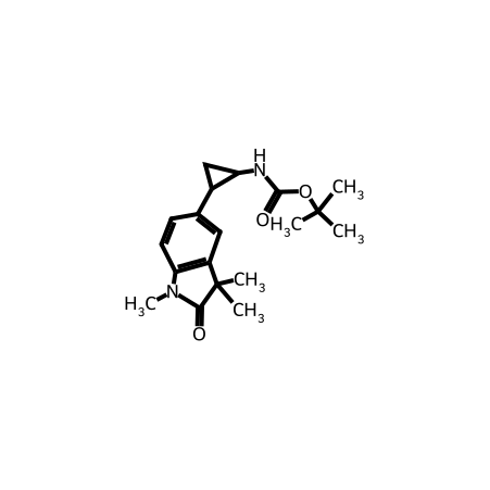 CN1C(=O)C(C)(C)c2cc(C3CC3NC(=O)OC(C)(C)C)ccc21